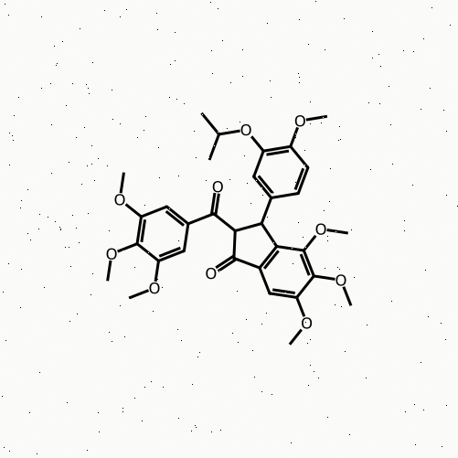 COc1ccc(C2c3c(cc(OC)c(OC)c3OC)C(=O)C2C(=O)c2cc(OC)c(OC)c(OC)c2)cc1OC(C)C